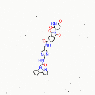 O=C(Cn1c2ccccc2c2cccnc21)NCc1ncc(CNC(=O)c2ccc3c(c2)C(=O)N(C2CCC(=O)NC2=O)C3=O)cn1